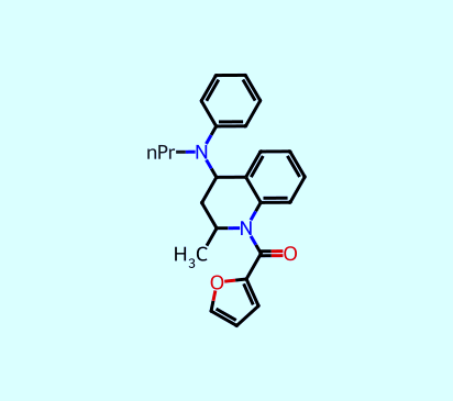 CCCN(c1ccccc1)C1CC(C)N(C(=O)c2ccco2)c2ccccc21